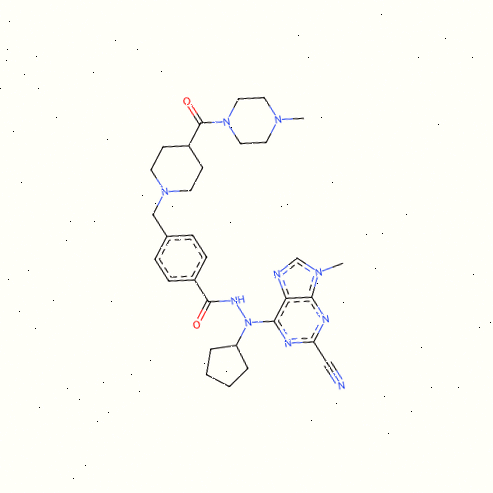 CN1CCN(C(=O)C2CCN(Cc3ccc(C(=O)NN(c4nc(C#N)nc5c4ncn5C)C4CCCC4)cc3)CC2)CC1